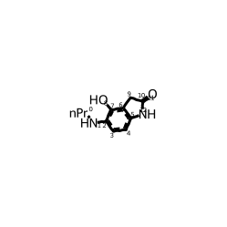 CCCNc1ccc2c(c1O)CC(=O)N2